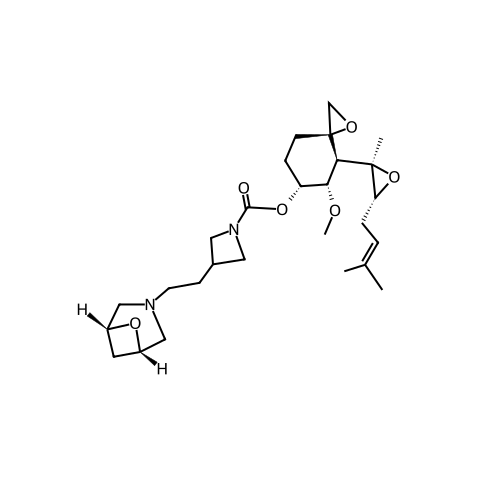 CO[C@@H]1[C@H](OC(=O)N2CC(CCN3C[C@H]4C[C@@H](C3)O4)C2)CC[C@]2(CO2)[C@H]1[C@@]1(C)O[C@@H]1CC=C(C)C